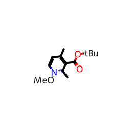 CO[n+]1ccc(C)c(C(=O)OC(C)(C)C)c1C